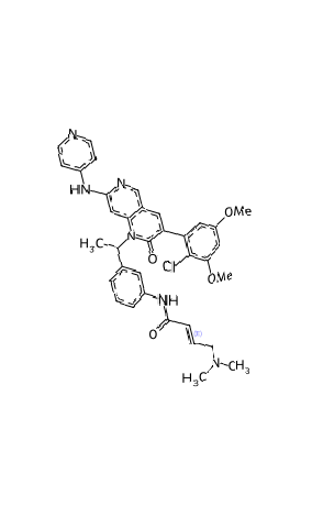 COc1cc(OC)c(Cl)c(-c2cc3cnc(Nc4ccncc4)cc3n(C(C)c3cccc(NC(=O)/C=C/CN(C)C)c3)c2=O)c1